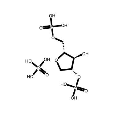 O=P(O)(O)O.O=P(O)(O)OC[C@H]1O[CH][C@@H](OP(=O)(O)O)[C@@H]1O